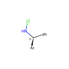 CC(=O)[C@@H](NCl)C(C)C